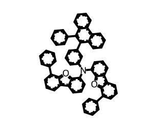 c1ccc(-c2c(-c3cccc(N(c4cccc5c4oc4c(-c6ccccc6)cccc45)c4cccc5c4oc4c(-c6ccccc6)cccc45)c3)c3ccccc3c3ccccc23)cc1